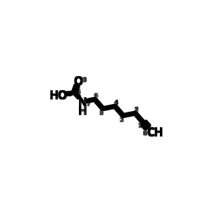 C#CCCCCCNC(=O)O